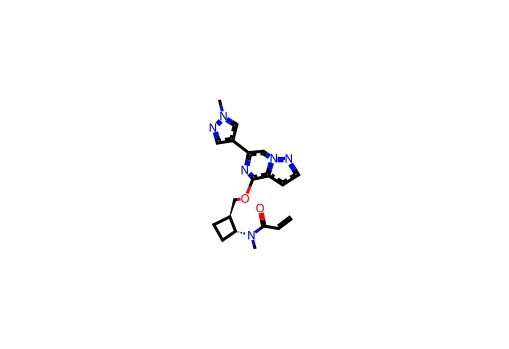 C=CC(=O)N(C)[C@@H]1CC[C@H]1COc1nc(-c2cnn(C)c2)cn2nccc12